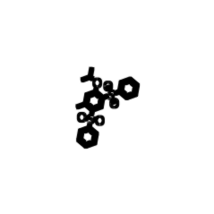 Cc1cc(OC(C)C)c(S(=O)(=O)c2ccccc2)cc1S(=O)(=O)c1ccccc1